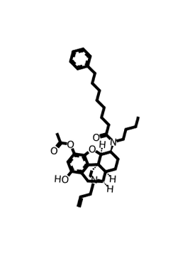 C=CCN1CC[C@]23c4c5c(O)cc(OC(C)=O)c4O[C@H]2[C@@H](N(CCCC)C(=O)CCCCCCCc2ccccc2)CC[C@H]3[C@H]1C5